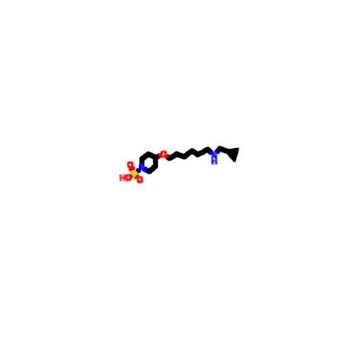 O=S(=O)(O)N1CCC(OCCCCCCNCC2CC2)CC1